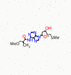 C=C(COC)C(=O)Nc1ncnc2c1ncn2[C@H]1C[C@H](O)[C@@H](CSC)O1